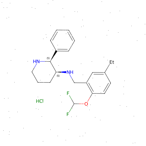 CCc1ccc(OC(F)F)c(CN[C@H]2CCCN[C@H]2c2ccccc2)c1.Cl